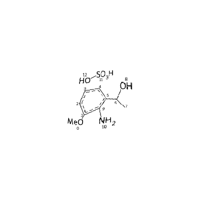 COc1cccc(C(C)O)c1N.O=S(=O)(O)O